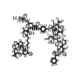 CC[C@H](C)[C@@H]([C@@H](CC(=O)N1CCC[C@H]1[C@H](OC)[C@@H](C)C(=O)NCC(=O)c1ccccc1)OC)N(C)C(=O)[C@@H](NC(=O)[C@H](C(C)C)N(C)C(=O)OCc1ccc(NC(=O)[C@H](CCCNC(N)=O)NC(=O)[C@@H](NC(=O)CCCCCN2C(=O)CC(SCC3(CC(=O)ON4C(=O)CCC4=O)CC3)C2=O)C(C)C)cc1)C(C)C